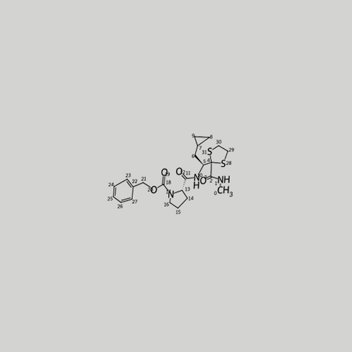 CNC(=O)C1([C@H](CC2CC2)NC(=O)[C@@H]2CCCN2C(=O)OCc2ccccc2)SCCS1